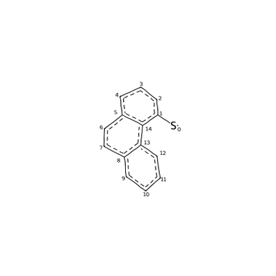 [S]c1cccc2ccc3ccccc3c12